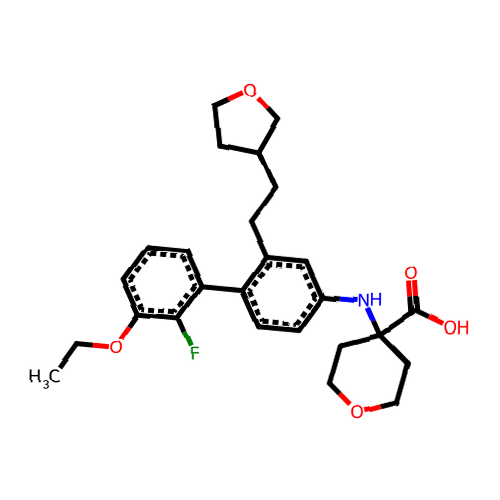 CCOc1cccc(-c2ccc(NC3(C(=O)O)CCOCC3)cc2CCC2CCOC2)c1F